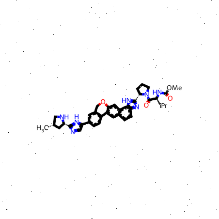 COC(=O)N[C@H](C(=O)N1CCC[C@H]1c1nc2ccc3cc4c(cc3c2[nH]1)OCc1cc(-c2cnc([C@@H]3C[C@H](C)CN3)[nH]2)ccc1-4)C(C)C